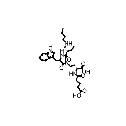 CCCCNC[C@H](CC)C(=O)N[C@H](Cc1c[nH]c2ccccc12)C(=O)NCC[C@@H](NC(=O)CCCC(=O)O)C(=O)O